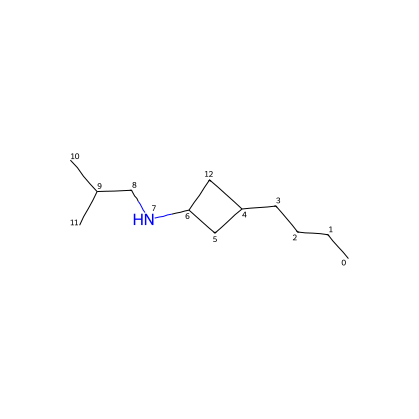 CCCCC1CC(NCC(C)C)C1